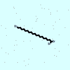 BrCCCCCCCCCCCCCCCCCCC(Br)Br